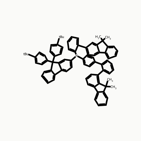 CC(C)(C)c1ccc(C2(c3ccc(C(C)(C)C)cc3)c3ccccc3-c3ccc(N(c4ccc(-c5ccccc5-c5cccc6c5C(C)(C)c5ccccc5-6)cc4)c4ccccc4-c4ccc5c(c4)C(C)(C)c4ccccc4-5)cc32)cc1